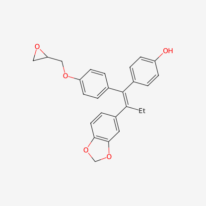 CCC(=C(c1ccc(O)cc1)c1ccc(OCC2CO2)cc1)c1ccc2c(c1)OCO2